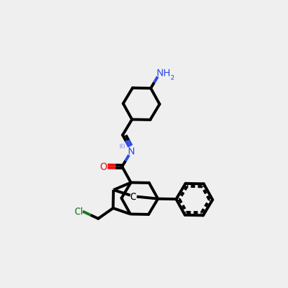 NC1CCC(/C=N/C(=O)C23CC4CC(c5ccccc5)(CC2C4CCl)C3)CC1